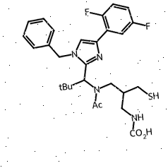 CC(=O)N(CC(CS)CNC(=O)O)C(c1nc(-c2cc(F)ccc2F)cn1Cc1ccccc1)C(C)(C)C